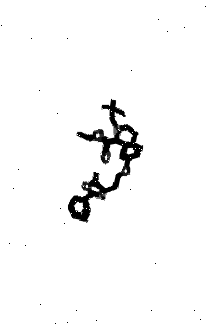 CCOC(=O)C1c2cc(OCCc3nc(-c4ccccc4)oc3C)ccc2CCN1CC(C)(C)C